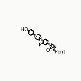 CCCC(C)n1ncn(-c2ccc(N3CCN(c4ccc(O)cc4)CC3)c(F)c2)c1=O